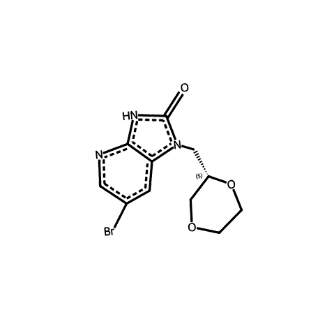 O=c1[nH]c2ncc(Br)cc2n1C[C@H]1COCCO1